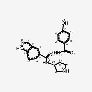 O=C(N[C@@H]1CNC[C@H]1NC(=O)c1ccc2[nH]ncc2c1)c1ccc(O)cc1